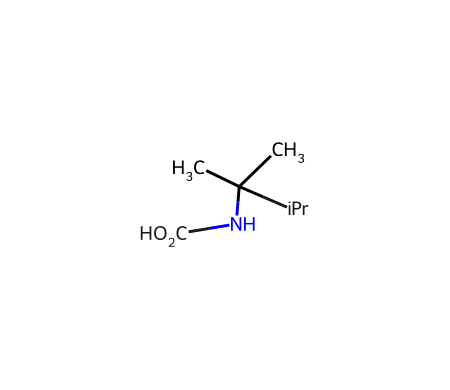 CC(C)C(C)(C)NC(=O)O